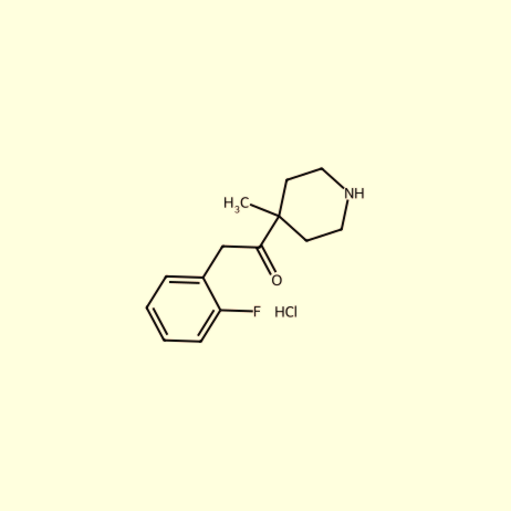 CC1(C(=O)Cc2ccccc2F)CCNCC1.Cl